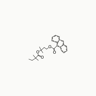 CCC(C)(C)C(=O)OC(C)(C)CCOC(=O)c1c2ccccc2cc2ccccc12